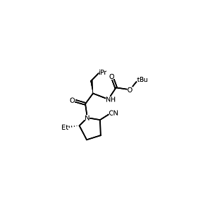 CC[C@H]1CCC(C#N)N1C(=O)[C@@H](CC(C)C)NC(=O)OC(C)(C)C